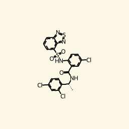 C[C@@H](NC(=O)c1cc(Cl)ccc1NS(=O)(=O)c1cccc2nsnc12)c1ccc(Cl)cc1Cl